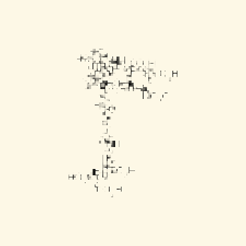 O=C(O)CC[C@H](NC(=O)N[C@@H](CCCCNC(=O)CCCCCCC(=O)NCCC/C=C(/NC(=O)[C@@H](Cc1ccccc1)NC(=O)[C@@H](Cc1ccc(O)c(I)c1)NC(=O)CCC(C(=O)O)N1CCN(CC(=O)O)CCN(CC(=O)O)CCN(CC(=O)O)CC1)C(=O)O)C(=O)O)C(=O)O